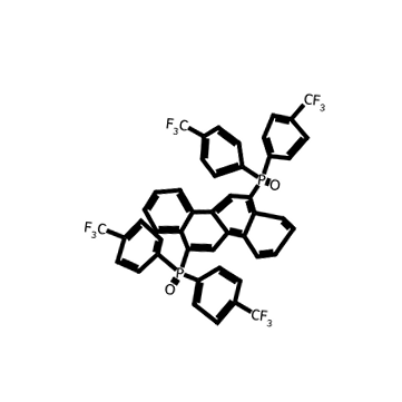 O=P(c1ccc(C(F)(F)F)cc1)(c1ccc(C(F)(F)F)cc1)c1cc2c3ccccc3c(P(=O)(c3ccc(C(F)(F)F)cc3)c3ccc(C(F)(F)F)cc3)cc2c2ccccc12